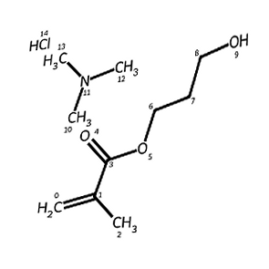 C=C(C)C(=O)OCCCO.CN(C)C.Cl